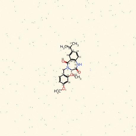 COc1ccc(CN2CC(=O)Nc3ccc(C(C)C)cc3C2=O)c(OC)c1